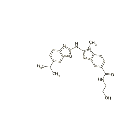 CC(C)c1ccc2nc(Nc3nc4cc(C(=O)NCCO)ccc4n3C)oc2c1